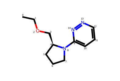 CCOC[C@@H]1CCCN1c1cc[c]nn1